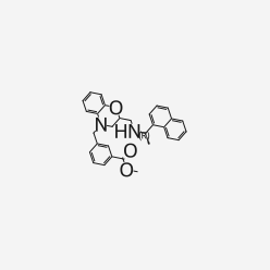 COC(=O)c1cccc(CN2CC(CN[C@H](C)c3cccc4ccccc34)Oc3ccccc32)c1